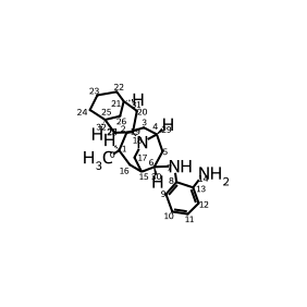 C[C@H]1CC[C@@H]2C[C@H](Nc3ccccc3N)C(C1)CN2[C@H]1C[C@@H]2CCC[C@@H](C2)C1